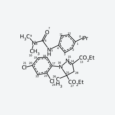 CC(C)c1ccc(NC(=O)N(C)C)cc1.CCOC(=O)C1=NN(c2ccc(Cl)cc2Cl)C(C)(C(=O)OCC)C1